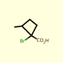 CC1CCC1(Br)C(=O)O